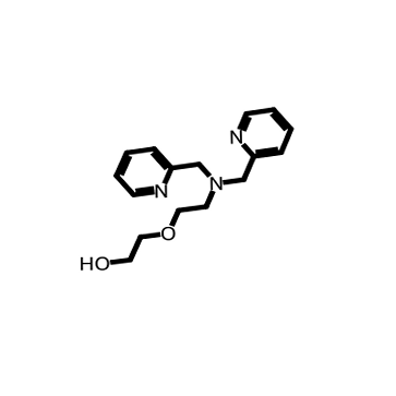 OCCOCCN(Cc1ccccn1)Cc1ccccn1